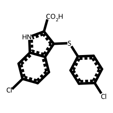 O=C(O)c1[nH]c2cc(Cl)ccc2c1Sc1ccc(Cl)cc1